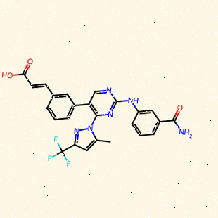 Cc1cc(C(F)(F)F)nn1-c1nc(Nc2cccc(C(N)=O)c2)ncc1-c1cccc(C=CC(=O)O)c1